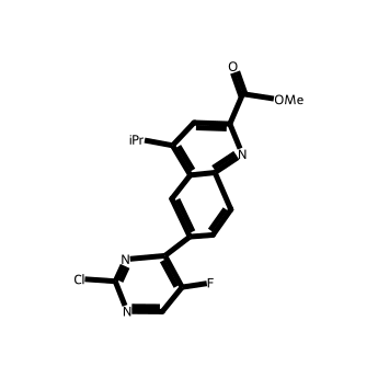 COC(=O)c1cc(C(C)C)c2cc(-c3nc(Cl)ncc3F)ccc2n1